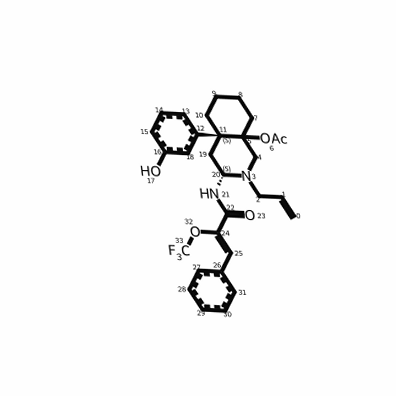 C=CCN1CC2(OC(C)=O)CCCC[C@@]2(c2cccc(O)c2)C[C@H]1NC(=O)C(=Cc1ccccc1)OC(F)(F)F